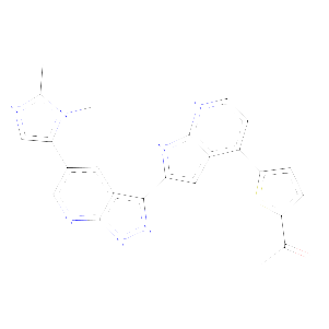 CC(=O)c1ccc(-c2ccnc3[nH]c(-c4n[nH]c5ncc(-c6cnc(C)n6C)cc45)cc23)s1